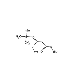 CC(C)(C)OC(=O)C/C(=C/S(C)(C)C(C)(C)C)CC#N